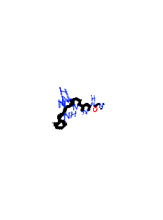 CN(C)CC(=O)Nc1cncc(-c2ccc3[nH]nc(-c4cc5ccccc5[nH]4)c3n2)c1